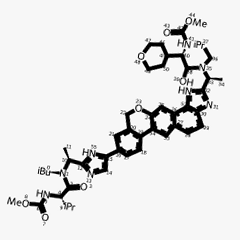 CC[C@H](C)N(C(=O)[C@@H](NC(=O)OC)C(C)C)[C@@H](C)c1ncc(-c2ccc3c(c2)COc2cc4c(ccc5nc([C@H](C)N(CC(C)C)C(O)[C@@H](NC(=O)OC)C6CCOCC6)[nH]c54)cc2-3)[nH]1